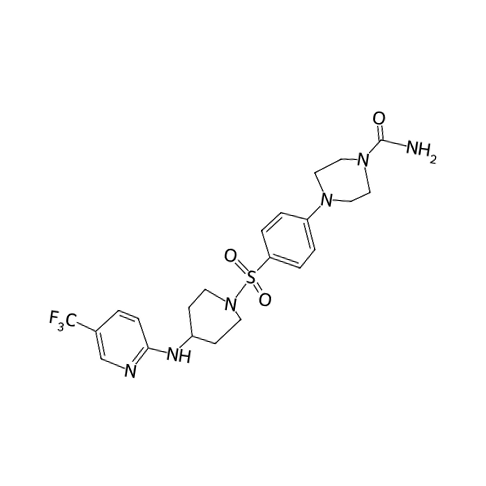 NC(=O)N1CCN(c2ccc(S(=O)(=O)N3CCC(Nc4ccc(C(F)(F)F)cn4)CC3)cc2)CC1